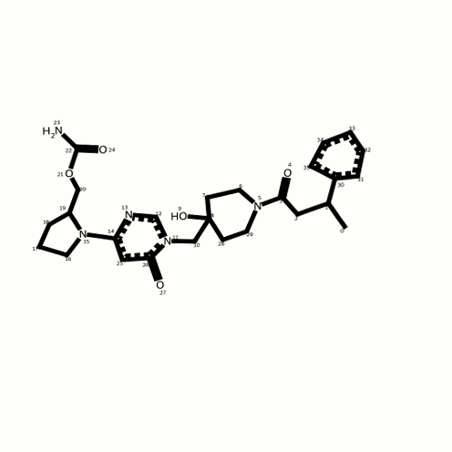 CC(CC(=O)N1CCC(O)(Cn2cnc(N3CCCC3COC(N)=O)cc2=O)CC1)c1ccccc1